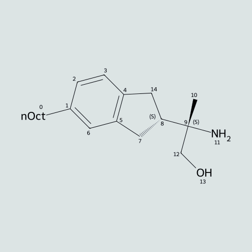 CCCCCCCCc1ccc2c(c1)C[C@@H]([C@](C)(N)CO)C2